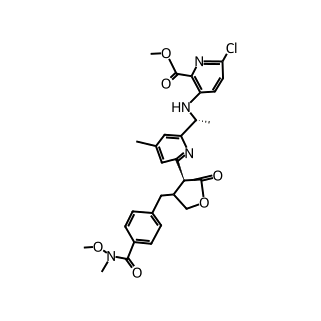 COC(=O)c1nc(Cl)ccc1N[C@H](C)c1cc(C)cc([C@H]2C(=O)OCC2Cc2ccc(C(=O)N(C)OC)cc2)n1